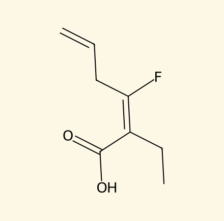 C=CCC(F)=C(CC)C(=O)O